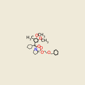 COc1cc([C@@H](C(=O)N2CCCC[C@H]2C(=O)OCCOCc2ccccc2)C2CCCCC2)cc(C)c1OC